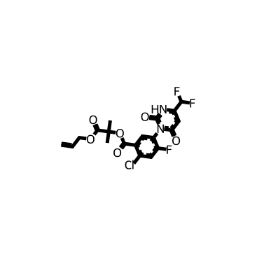 C=CCOC(=O)C(C)(C)OC(=O)c1cc(-n2c(=O)cc(C(F)F)[nH]c2=O)c(F)cc1Cl